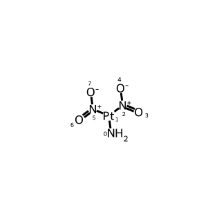 [NH2][Pt]([N+](=O)[O-])[N+](=O)[O-]